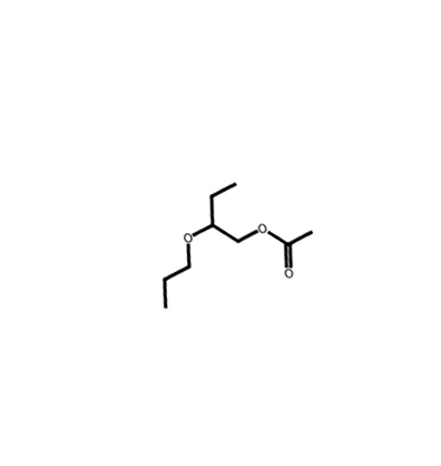 CCCOC(CC)COC(C)=O